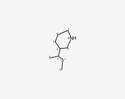 CSC(C)C1CCCNC1